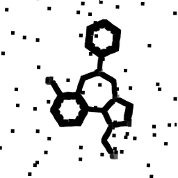 ClCN1N=CN2CN(c3ccccc3)Cc3c(Cl)cccc3C21